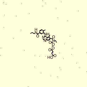 CCCNC(=O)c1ccc(C)c(Nc2ncnn3cc(C(=O)N(CC)C(=O)OCOC(=O)/C=C/C(=O)O)c(C)c23)c1